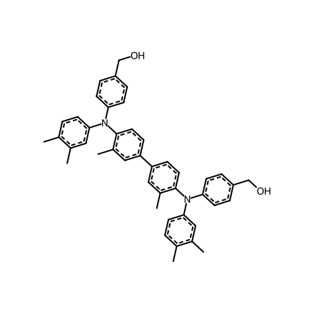 Cc1ccc(N(c2ccc(CO)cc2)c2ccc(-c3ccc(N(c4ccc(CO)cc4)c4ccc(C)c(C)c4)c(C)c3)cc2C)cc1C